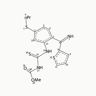 CCCSc1ccc(C(=N)c2cccs2)c(NC(=S)NC(=O)OC)c1